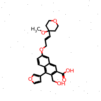 COC1(C=CCOc2ccc3c(-c4ccoc4)c(CO)c(C(=O)O)cc3c2)CCOCC1